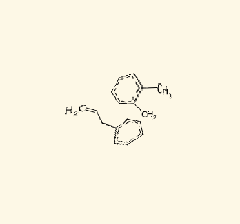 C=CCc1ccccc1.Cc1ccccc1C